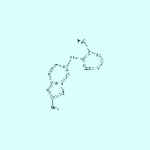 Cc1ccccc1Oc1ccc2nc(N)sc2c1